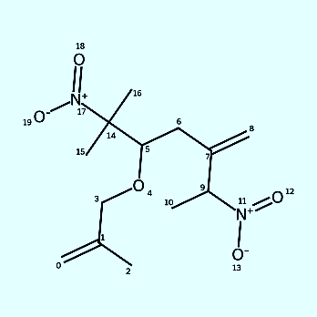 C=C(C)COC(CC(=C)C(C)[N+](=O)[O-])C(C)(C)[N+](=O)[O-]